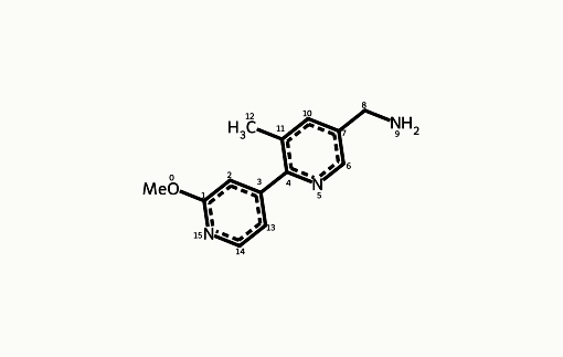 COc1cc(-c2ncc(CN)cc2C)ccn1